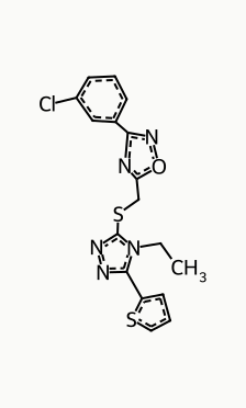 CCn1c(SCc2nc(-c3cccc(Cl)c3)no2)nnc1-c1cccs1